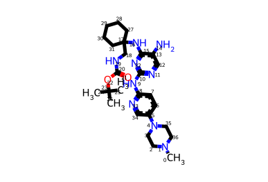 CN1CCN(c2ccc(Nc3ncc(N)c(NC4(CNC(=O)OC(C)(C)C)CCCCC4)n3)nc2)CC1